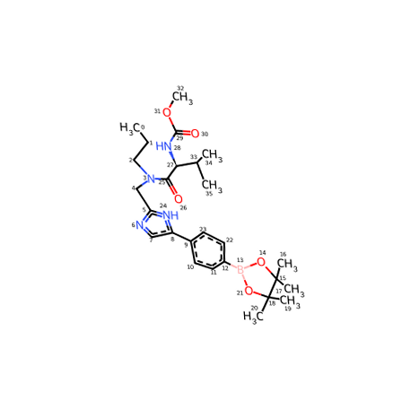 CCCN(Cc1ncc(-c2ccc(B3OC(C)(C)C(C)(C)O3)cc2)[nH]1)C(=O)[C@@H](NC(=O)OC)C(C)C